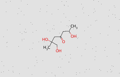 CC(O)CC(=O)CC(C)(O)CO